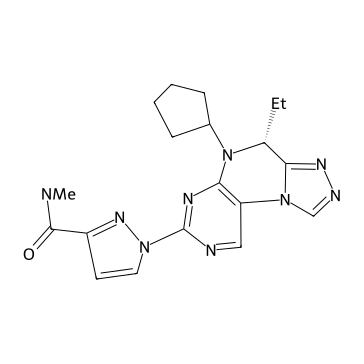 CC[C@@H]1c2nncn2-c2cnc(-n3ccc(C(=O)NC)n3)nc2N1C1CCCC1